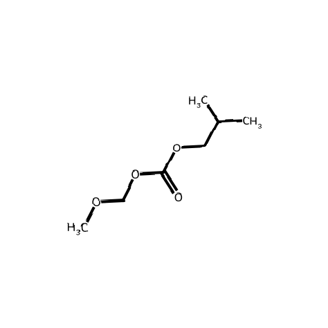 COCOC(=O)OCC(C)C